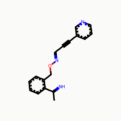 CC(=N)c1ccccc1CO/N=C/C#Cc1cccnc1